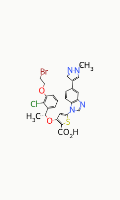 C[C@@H](Oc1cc(-n2cnc3cc(-c4cnn(C)c4)ccc32)sc1C(=O)O)c1cccc(OCCBr)c1Cl